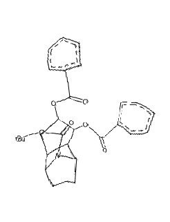 CC(C)(C)OC(=O)N1C2CCC1C1C2CC(OC(=O)c2ccccc2)C1OC(=O)c1ccccc1